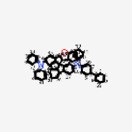 c1ccc(-c2ccc(N(c3ccccc3)c3ccc4c(c3)C3(c5ccccc5-4)c4cc(N(c5ccccc5)c5ccccc5)ccc4-c4oc5ccccc5c43)cc2)cc1